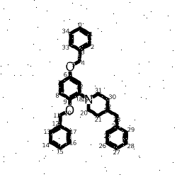 c1ccc(COc2ccc(OCc3ccccc3)c(N3CCC(Cc4ccccc4)CC3)c2)cc1